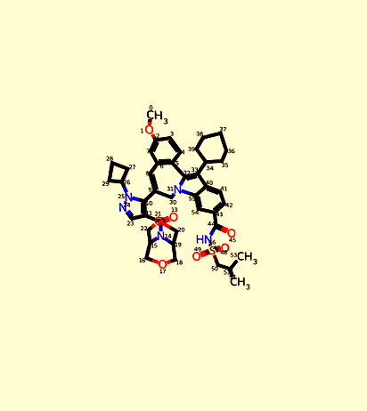 COc1ccc2c(c1)C=C(c1c(C(=O)N3C4COCC3COC4)cnn1C1CCC1)Cn1c-2c(C2CCCCC2)c2ccc(C(=O)NS(=O)(=O)CC(C)C)cc21